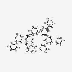 c1ccc(-c2cc(-c3ccccc3)cc(-c3cc(-c4ccccc4)cc(-c4cccc(-c5nc(-c6cccc(-c7ccccc7)c6)c6sc7ccccc7c6n5)c4)c3)c2)cc1